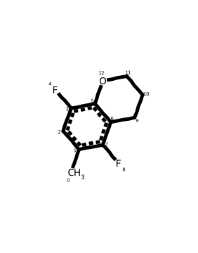 Cc1cc(F)c2c(c1F)CCCO2